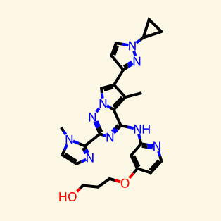 Cc1c(-c2ccn(C3CC3)n2)cn2nc(-c3nccn3C)nc(Nc3cc(OCCCO)ccn3)c12